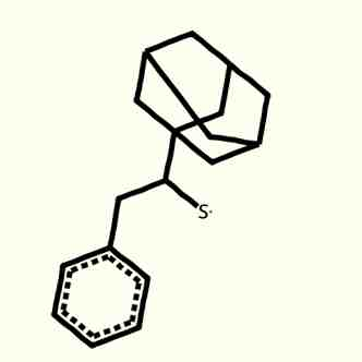 [S]C(Cc1ccccc1)C12CC3CC(CC(C3)C1)C2